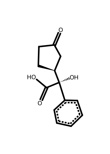 O=C1CC[C@H]([C@](O)(C(=O)O)c2ccccc2)C1